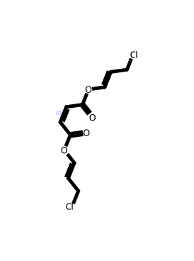 O=C(/C=C\C(=O)OC=CCCl)OC=CCCl